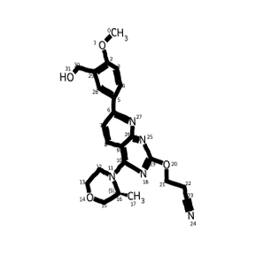 COc1ccc(-c2ccc3c(N4CCOC[C@@H]4C)nc(OCCC#N)nc3n2)cc1CO